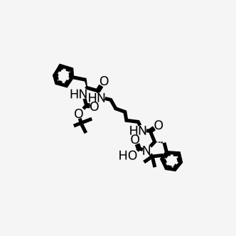 CC(C)(C)OC(=O)N[C@@H](Cc1ccccc1)C(=O)NCCCCCNC(=O)[C@H](Cc1ccccc1)N(C(=O)O)C(C)(C)C